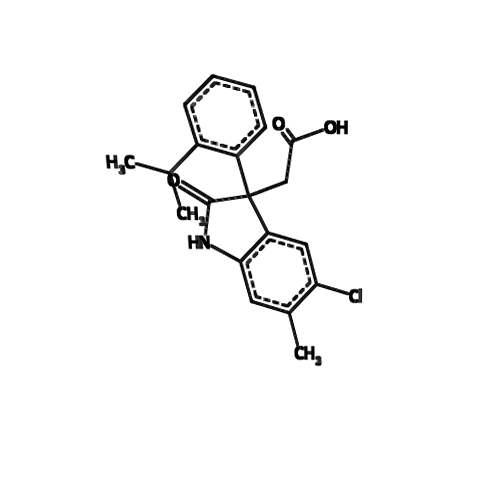 Cc1cc2c(cc1Cl)C(CC(=O)O)(c1ccccc1C(C)C)C(=O)N2